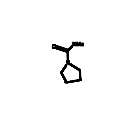 CNC(=O)N1C[CH]CC1